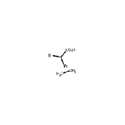 CC.CC(C)C(Br)C(=O)O